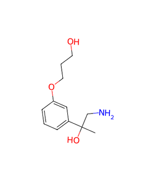 CC(O)(CN)c1cccc(OCCCO)c1